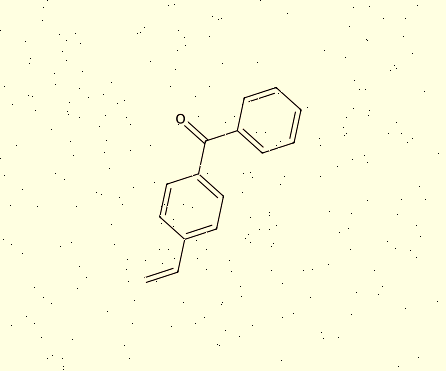 C=Cc1ccc(C(=O)c2ccccc2)cc1